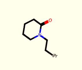 CC(C)CCN1CCCCC1=O